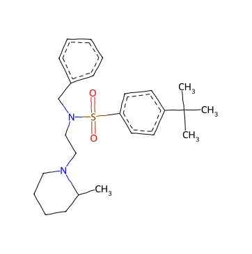 CC1CCCCN1CCN(Cc1ccccc1)S(=O)(=O)c1ccc(C(C)(C)C)cc1